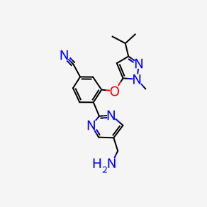 CC(C)c1cc(Oc2cc(C#N)ccc2-c2ncc(CN)cn2)n(C)n1